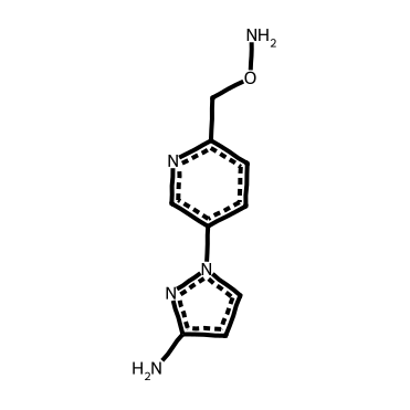 NOCc1ccc(-n2ccc(N)n2)cn1